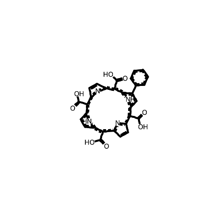 O=C(O)c1c2nc(c(C(=O)O)c3cc(-c4ccccc4)c([nH]3)c(C(=O)O)c3nc(c(C(=O)O)c4ccc1[nH]4)C=C3)C=C2